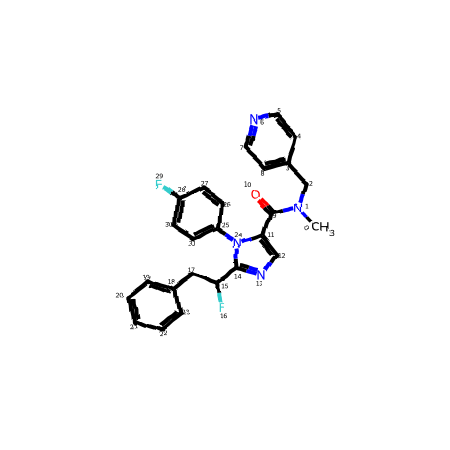 CN(Cc1ccncc1)C(=O)c1cnc(C(F)Cc2ccccc2)n1-c1ccc(F)cc1